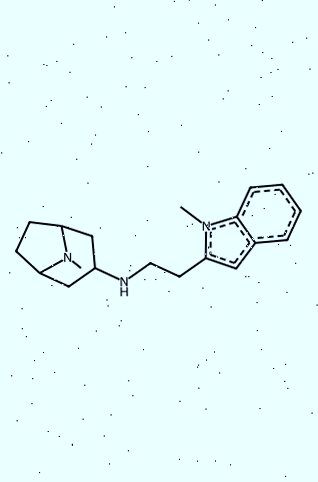 CN1C2CCC1CC(NCCc1cc3ccccc3n1C)C2